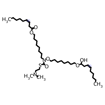 CCCCC/C=C\CC(=O)OCCCCCCCCN(OCCCCCCCCOC(O)C/C=C\CCCCC)C(=O)SCCN(C)C